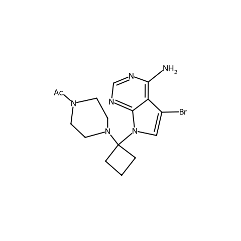 CC(=O)N1CCN(C2(n3cc(Br)c4c(N)ncnc43)CCC2)CC1